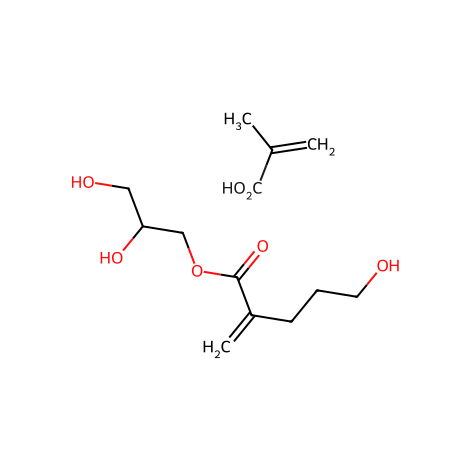 C=C(C)C(=O)O.C=C(CCCO)C(=O)OCC(O)CO